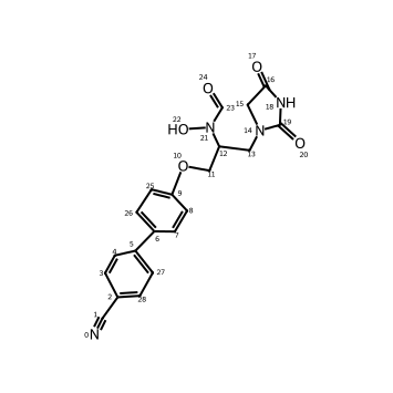 N#Cc1ccc(-c2ccc(OCC(CN3CC(=O)NC3=O)N(O)C=O)cc2)cc1